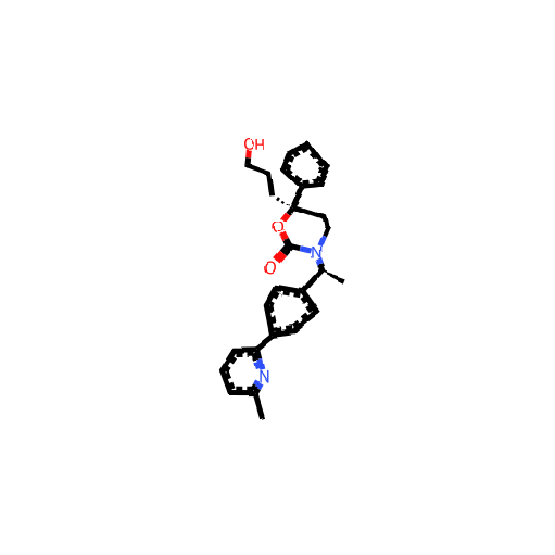 Cc1cccc(-c2ccc([C@H](C)N3CC[C@](CCCO)(c4ccccc4)OC3=O)cc2)n1